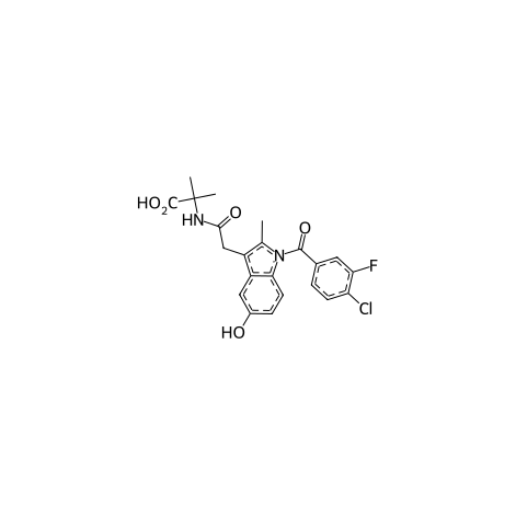 Cc1c(CC(=O)NC(C)(C)C(=O)O)c2cc(O)ccc2n1C(=O)c1ccc(Cl)c(F)c1